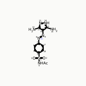 CC(=O)NS(=O)(=O)c1ccc(/N=N/c2c(N)n[nH]c2N)cc1